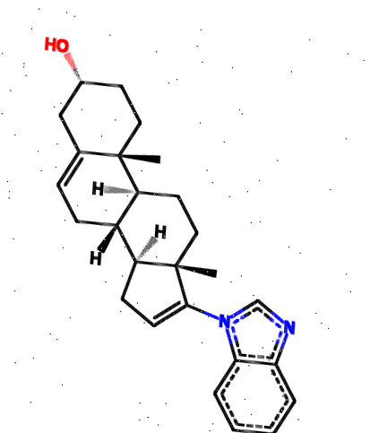 C[C@]12CC[C@@H](O)CC1=CC[C@@H]1[C@@H]2CC[C@]2(C)C(n3cnc4ccccc43)=CC[C@@H]12